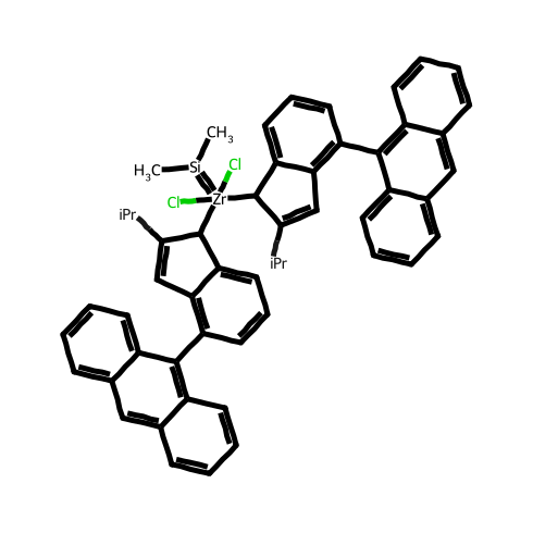 CC(C)C1=Cc2c(-c3c4ccccc4cc4ccccc34)cccc2[CH]1[Zr]([Cl])([Cl])([CH]1C(C(C)C)=Cc2c(-c3c4ccccc4cc4ccccc34)cccc21)=[Si](C)C